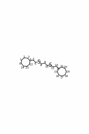 C1CCCC(CCSCCCSCCC2CCCCCCC2)CCC1